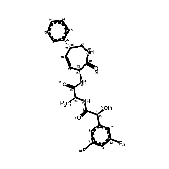 C[C@H](NC(=O)[C@@H](O)c1cc(F)cc(F)c1)C(=O)N[C@H]1C=C[C@H](c2ccccc2)CNC1=O